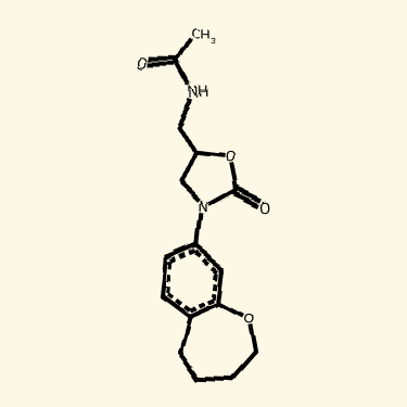 CC(=O)NCC1CN(c2ccc3c(c2)OCCCC3)C(=O)O1